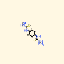 NNC(=S)Nc1ccc(NC(=S)NN)cc1